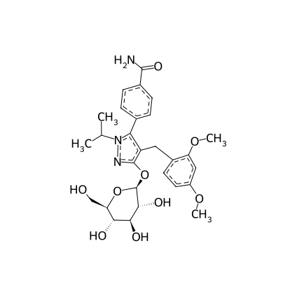 COc1ccc(Cc2c(O[C@@H]3O[C@H](CO)[C@@H](O)[C@H](O)[C@H]3O)nn(C(C)C)c2-c2ccc(C(N)=O)cc2)c(OC)c1